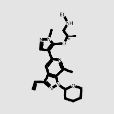 C=Cc1nn(C2CCCCO2)c2c(C)nc(-c3cnn(C)c3O[C@H](C)CNCC)cc12